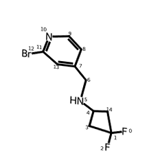 FC1(F)CC(NCc2ccnc(Br)c2)C1